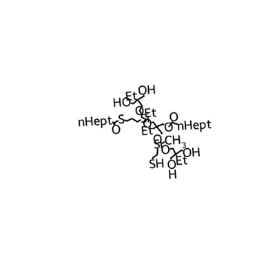 CCCCCCCC(=O)OCC(CC)(CO[Si](C)(CCCS)OCC(CC)(CO)CO)CO[Si](CC)(CCCSC(=O)CCCCCCC)OCC(CC)(CO)CO